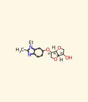 CCn1c(C)nc2ccc(O[C@@H]3CO[C@H]4[C@@H]3OC[C@H]4O)cc21